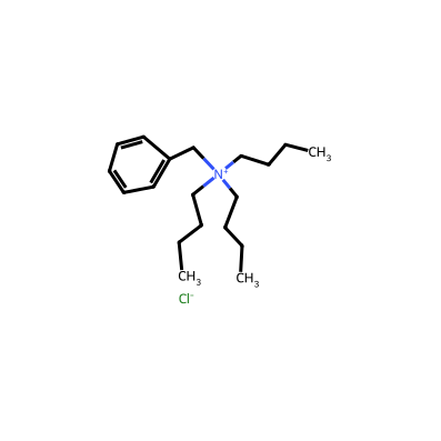 CCCC[N+](CCCC)(CCCC)Cc1ccccc1.[Cl-]